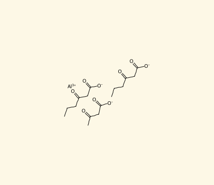 CC(=O)CC(=O)[O-].CCCC(=O)CC(=O)[O-].CCCC(=O)CC(=O)[O-].[Al+3]